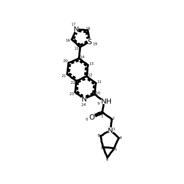 O=C(CN1CC2CC2C1)Nc1cc2cc(-c3cncs3)ccc2cn1